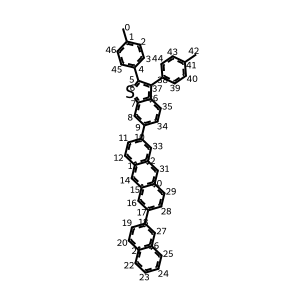 Cc1ccc(-c2sc3cc(-c4ccc5cc6cc(-c7ccc8ccccc8c7)ccc6cc5c4)ccc3c2-c2ccc(C)cc2)cc1